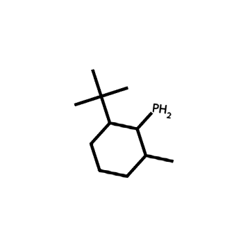 CC1CCCC(C(C)(C)C)C1P